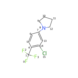 FC(F)(F)c1ccc(N2[CH]CCC2)cc1Cl